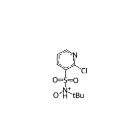 CC(C)(C)[NH+]([O-])S(=O)(=O)c1cccnc1Cl